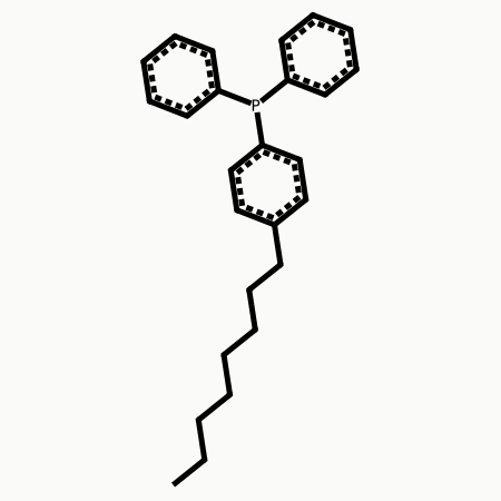 CCCCCCCCc1ccc(P(c2ccccc2)c2ccccc2)cc1